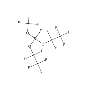 CC(F)(F)O[Si](F)(OC(F)(F)C(F)(F)F)OC(F)(F)C(F)(F)F